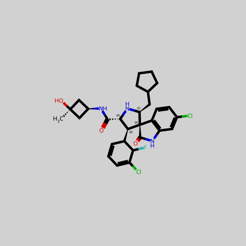 C[C@]1(O)C[C@@H](NC(=O)[C@@H]2N[C@@H](CC3CCCC3)[C@@]3(C(=O)Nc4cc(Cl)ccc43)[C@H]2C2C=CC=C(Cl)C2F)C1